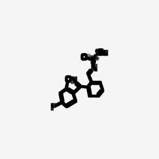 CC(C)(C)[S@+]([O-])N=Cc1ccccc1-c1noc2cc(F)ccc12